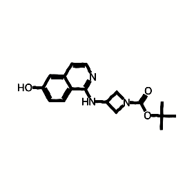 CC(C)(C)OC(=O)N1CC(Nc2nccc3cc(O)ccc23)C1